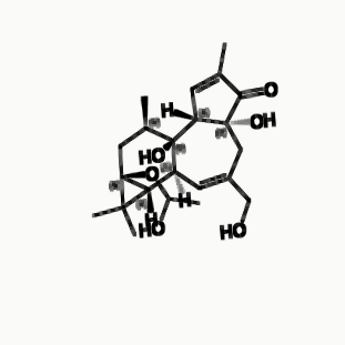 CC1=C[C@H]2[C@@]3(O)[C@H](C)C[C@]4(OC(C)O)[C@H]([C@@H]3C=C(CO)C[C@]2(O)C1=O)C4(C)C